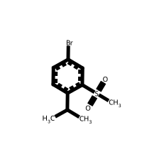 CC(C)c1ccc(Br)cc1S(C)(=O)=O